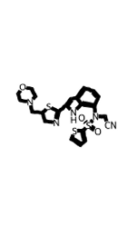 N#CCN(c1cccc2cc(C3=NCC(CN4CCOCC4)S3)[nH]c12)S(=O)(=O)c1cccs1